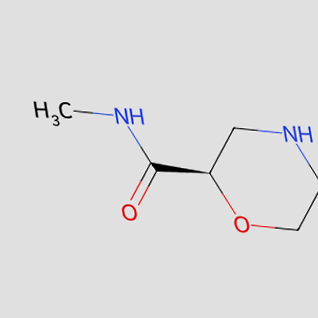 CNC(=O)[C@H]1CNCCO1